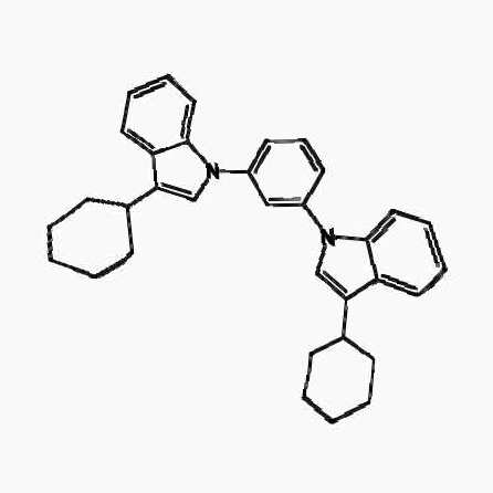 c1cc(-n2cc(C3CCCCC3)c3ccccc32)cc(-n2cc(C3CCCCC3)c3ccccc32)c1